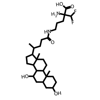 CC(CCC(=O)NCCCC(N)(C(=O)O)C(F)F)C1CCC2C3C(O)CC4CC(O)CCC4(C)C3CCC12C